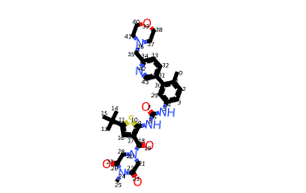 Cc1ccc(NC(=O)Nc2sc(C(C)(C)C)cc2C(=O)N2CC(=O)N(C)C(=O)C2)cc1-c1ccc(CN2CCOCC2)nc1